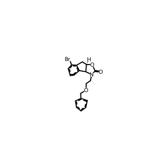 O=C1O[C@@H]2Cc3c(Br)cccc3C2N1CCOCc1ccccc1